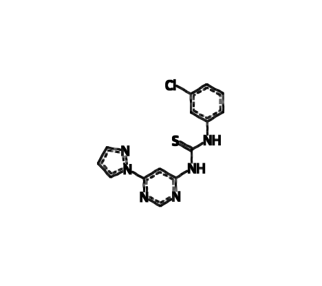 S=C(Nc1cccc(Cl)c1)Nc1cc(-n2cccn2)ncn1